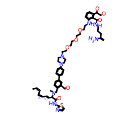 C=C(N)CCCNC(=O)c1c(NCCOCCOCCOCCN2CCN(c3ccc(-c4ccc(CN(C)C(/C=C/C=C\C=C/C)C(=O)Nc5nccs5)c(C=O)c4)cc3)CC2)cccc1C(=O)C=O